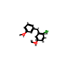 COc1cccc(Cc2cc(OC)ccc2Br)c1